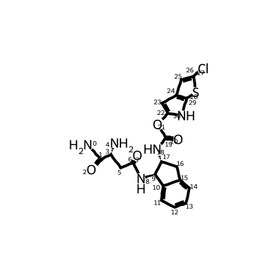 NC(=O)[C@H](N)CC(=O)N[C@@H]1c2ccccc2C[C@H]1NC(=O)Oc1cc2cc(Cl)sc2[nH]1